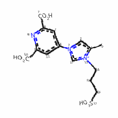 Cc1cn(-c2cc(C(=O)O)nc(C(=O)O)c2)c[n+]1CCCS(=O)(=O)O